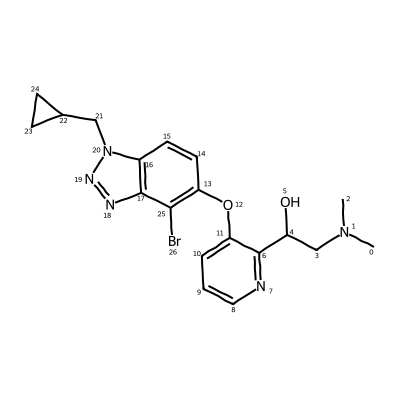 CN(C)CC(O)c1ncccc1Oc1ccc2c(nnn2CC2CC2)c1Br